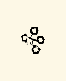 O=C1CCCN1[C@@H](c1ccccc1)[C@H](Oc1ccccn1)c1ccccc1